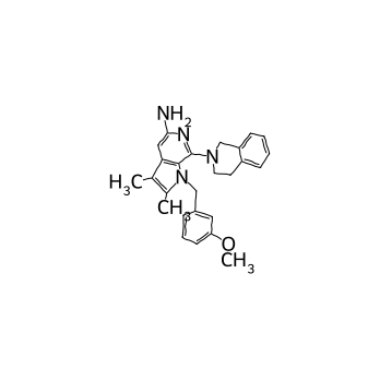 COc1cccc(Cn2c(C)c(C)c3cc(N)nc(N4CCc5ccccc5C4)c32)c1